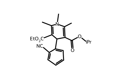 CCOC(=O)C1=C(C)N(C)C(C)=C(C(=O)OC(C)C)C1c1ccccc1C#N